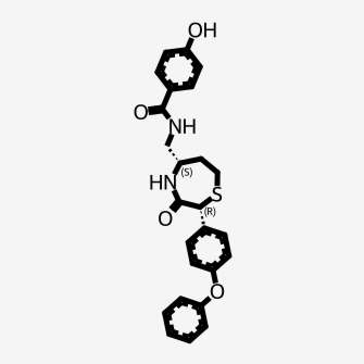 O=C(NC[C@@H]1CCS[C@H](c2ccc(Oc3ccccc3)cc2)C(=O)N1)c1ccc(O)cc1